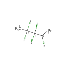 CC(C)C(F)C(F)(F)C(F)(F)C(F)(F)F